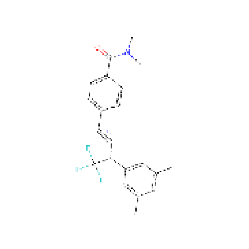 Cc1cc(C)cc(C(/C=C/c2ccc(C(=O)N(C)C)cc2)C(F)(F)F)c1